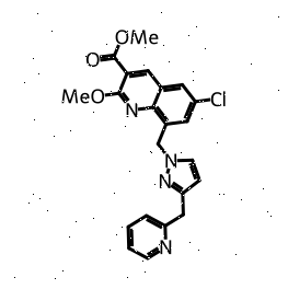 COC(=O)c1cc2cc(Cl)cc(Cn3ccc(Cc4ccccn4)n3)c2nc1OC